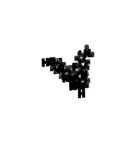 CN(C)C1CCc2c1ccc(-c1cc(Nc3ccc(N4CCC(O)CC4)cn3)c3c(=O)[nH]ccc3n1)c2F